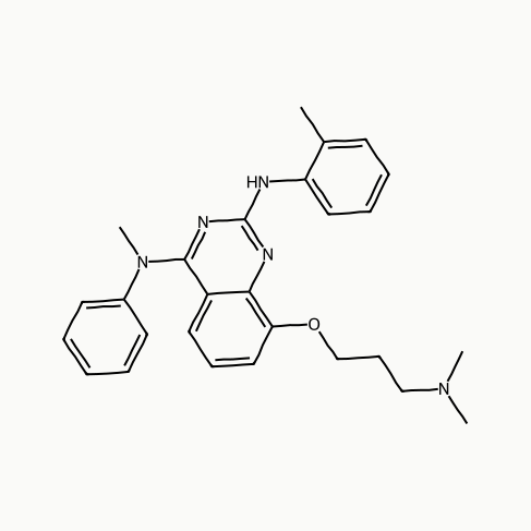 Cc1ccccc1Nc1nc(N(C)c2ccccc2)c2cccc(OCCCN(C)C)c2n1